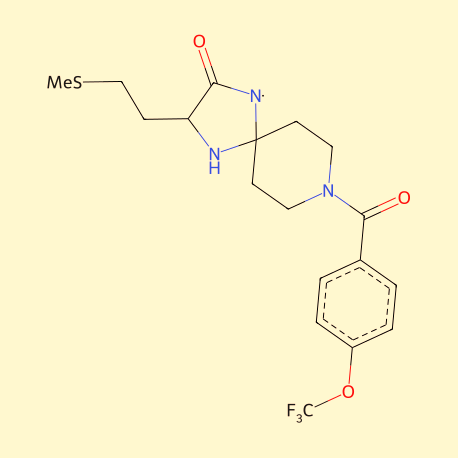 CSCCC1NC2(CCN(C(=O)c3ccc(OC(F)(F)F)cc3)CC2)[N]C1=O